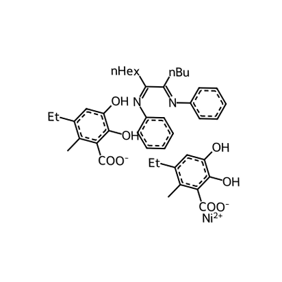 CCCCCCC(=Nc1ccccc1)C(CCCC)=Nc1ccccc1.CCc1cc(O)c(O)c(C(=O)[O-])c1C.CCc1cc(O)c(O)c(C(=O)[O-])c1C.[Ni+2]